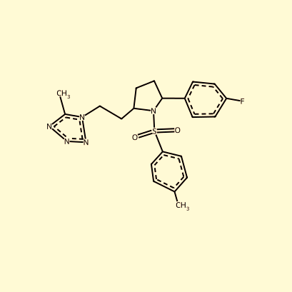 Cc1ccc(S(=O)(=O)N2C(CCn3nnnc3C)CCC2c2ccc(F)cc2)cc1